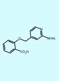 CC(=O)Nc1cc(COc2ccccc2C(=O)O)ccn1